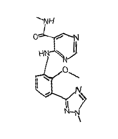 CNC(=O)c1cncnc1Nc1cccc(-c2ncn(C)n2)c1OC